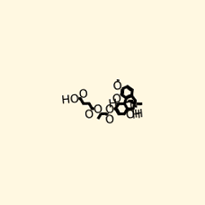 COc1ccc2c3c1O[C@H]1C(OC(=O)C(C)OC(=O)CCC(=O)O)=CC[C@@]4(O)[C@@H](C2)N(C)CC[C@]314